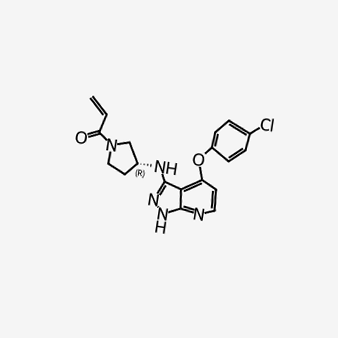 C=CC(=O)N1CC[C@@H](Nc2n[nH]c3nccc(Oc4ccc(Cl)cc4)c23)C1